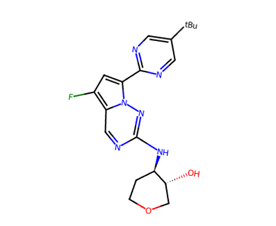 CC(C)(C)c1cnc(-c2cc(F)c3cnc(N[C@@H]4CCOC[C@H]4O)nn23)nc1